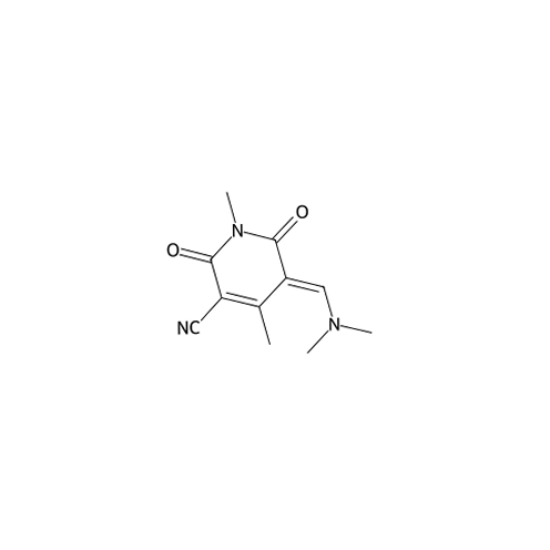 CC1=C(C#N)C(=O)N(C)C(=O)C1=CN(C)C